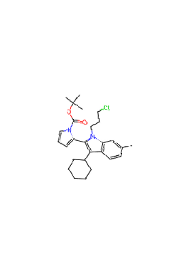 Cc1ccc2c(C3CCCCC3)c(-c3cccn3C(=O)OC(C)(C)C)n(CCCCl)c2c1